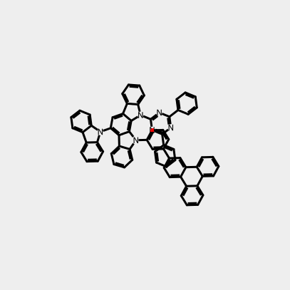 c1ccc(-c2nc(-c3ccccc3)nc(-n3c4ccccc4c4cc(-n5c6ccccc6c6ccccc65)c5c6ccccc6n(-c6cccc(-c7ccc8c9ccccc9c9ccccc9c8c7)c6)c5c43)n2)cc1